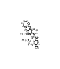 COCC(C)Oc1cc(NC(=O)N2CCCc3cc(CN4CCCCOC4=O)c(C=O)nc32)ncc1C#N